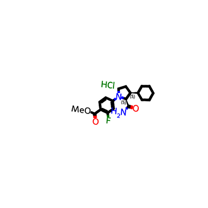 COC(=O)c1ccc(N2CC[C@@H](C3CCCCC3)[C@H]2C(N)=O)cc1F.Cl